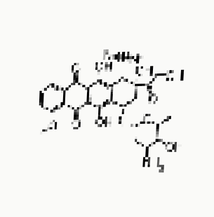 COc1cccc2c1C(=O)c1c(O)c3c(c(O)c1C2=O)C[C@@](O)(C(=O)CO)C[C@@H]3O[C@H]1C[C@H](N)[C@H](O)[C@H](C)O1.[N-]=[N+]=[N-]